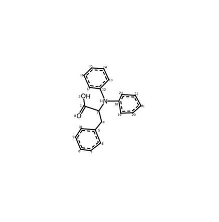 O=C(O)C(Cc1ccccc1)N(c1ccccc1)c1ccccc1